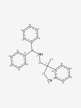 CC(CC#N)(CNC(c1ccccc1)c1ccccc1)c1ccccc1